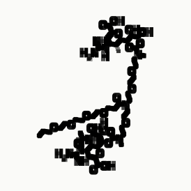 CCCOCCOCCOCCOCCC(=O)N(CCOCCOCCN(C)C(=O)O[C@@H]([C@@H]1OC(C(=O)O)=C[C@H](NC(=N)N)[C@H]1C)[C@H](O)CO)CCOCCN(C)C(=O)O[C@@H]([C@@H]1OC(C(=O)O)=C[C@H](NC(=N)N)[C@H]1NC(C)=O)[C@H](O)CO